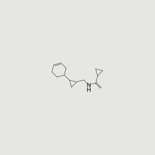 C=C(NCC1CC1C1CC=CCC1)C1CC1